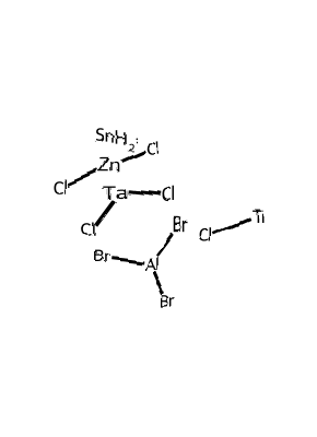 [Br][Al]([Br])[Br].[Cl][Ta][Cl].[Cl][Ti].[Cl][Zn][Cl].[SnH2]